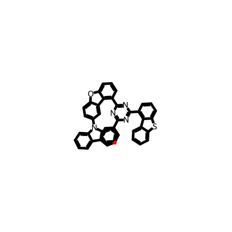 c1ccc(-c2nc(-c3cccc4oc5ccc(-n6c7ccccc7c7ccccc76)cc5c34)nc(-c3cccc4sc5ccccc5c34)n2)cc1